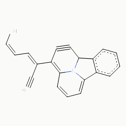 C#C/C(=C\C=C/C)C1=C2C=CC=C3c4ccccc4C(C#C1)N32